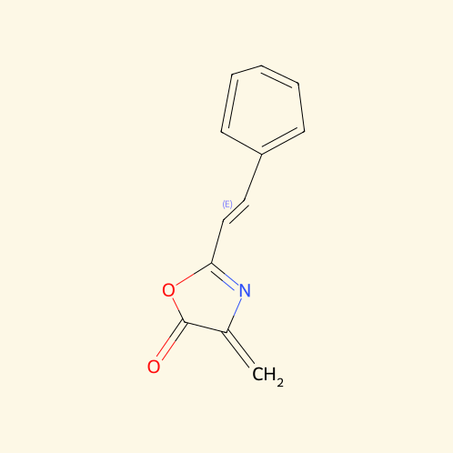 C=C1N=C(/C=C/c2ccccc2)OC1=O